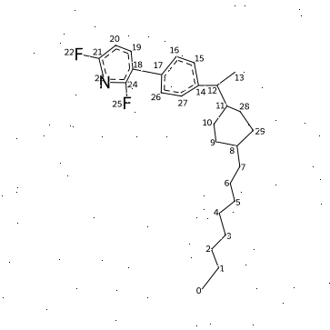 CCCCCCCCC1CCC(C(C)c2ccc(-c3ccc(F)nc3F)cc2)CC1